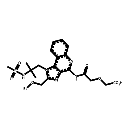 CCOCc1nc2c(NC(=O)COCC(=O)O)nc3ccccc3c2n1CC(C)(C)NS(C)(=O)=O